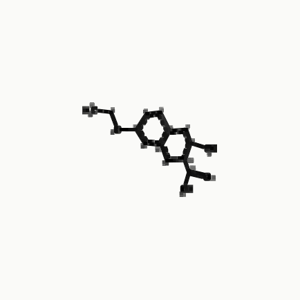 CCOc1ccc2cc(O)c(C(=O)O)cc2c1